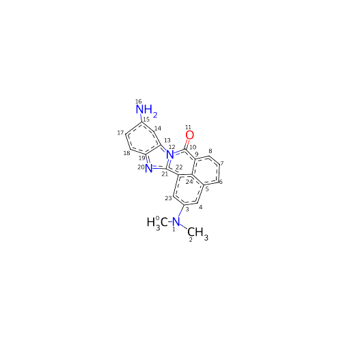 CN(C)c1cc2cccc3c(=O)n4c5cc(N)ccc5nc4c(c1)c23